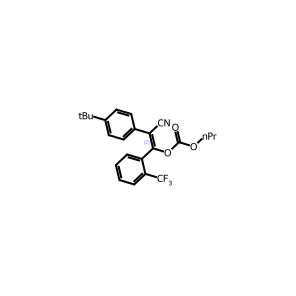 CCCOC(=O)O/C(=C(\C#N)c1ccc(C(C)(C)C)cc1)c1ccccc1C(F)(F)F